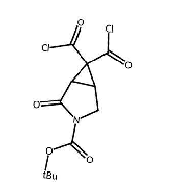 CC(C)(C)OC(=O)N1CC2C(C1=O)C2(C(=O)Cl)C(=O)Cl